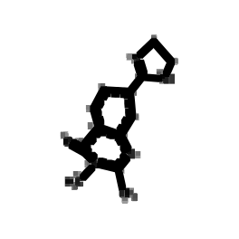 Cc1nc2cc(C3=NCCN3)ccc2c(=O)n1C